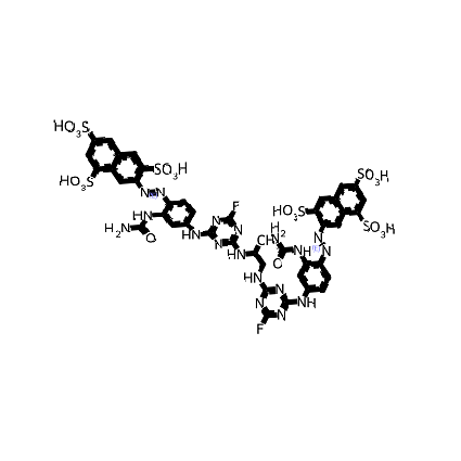 CC(CNc1nc(F)nc(Nc2ccc(/N=N/c3cc4c(S(=O)(=O)O)cc(S(=O)(=O)O)cc4cc3S(=O)(=O)O)c(NC(N)=O)c2)n1)Nc1nc(F)nc(Nc2ccc(/N=N/c3cc4c(S(=O)(=O)O)cc(S(=O)(=O)O)cc4cc3S(=O)(=O)O)c(NC(N)=O)c2)n1